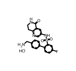 Cl.NCc1ccc(-c2ccc(F)cc2S(=O)(=O)Nc2cnc3c(c2)C(=O)NCC3)cc1